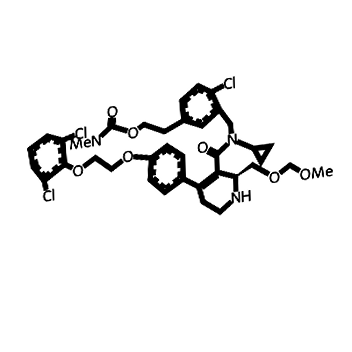 CNC(=O)OCCc1ccc(Cl)c(CN(C(=O)C2=C(c3ccc(OCCOc4c(Cl)cccc4Cl)cc3)CCN[C@@H]2COCOC)C2CC2)c1